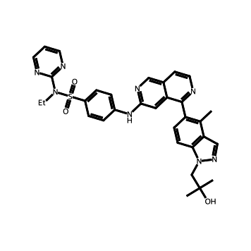 CCN(c1ncccn1)S(=O)(=O)c1ccc(Nc2cc3c(-c4ccc5c(cnn5CC(C)(C)O)c4C)nccc3cn2)cc1